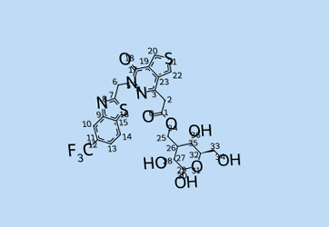 O=C(Cc1nn(Cc2nc3cc(C(F)(F)F)ccc3s2)c(=O)c2cscc12)OCC1[C@@H](O)[C@H](O)O[C@H](CO)[C@H]1O